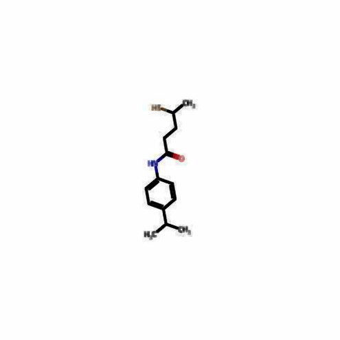 CC(S)CCC(=O)Nc1ccc(C(C)C)cc1